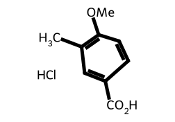 COc1ccc(C(=O)O)cc1C.Cl